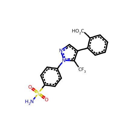 NS(=O)(=O)c1ccc(-n2ncc(-c3ccccc3C(=O)O)c2C(F)(F)F)cc1